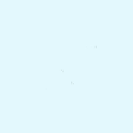 O=C(O)c1ccc2nc(C3CC3)n(Cc3ccccc3F)c2c1